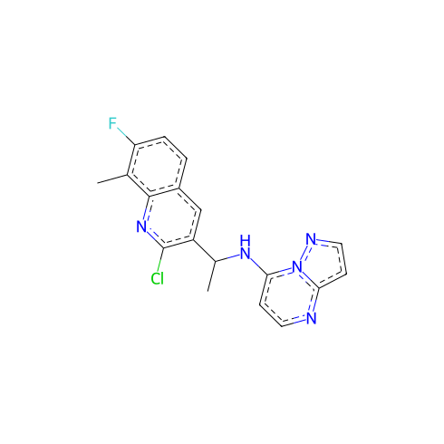 Cc1c(F)ccc2cc(C(C)Nc3ccnc4ccnn34)c(Cl)nc12